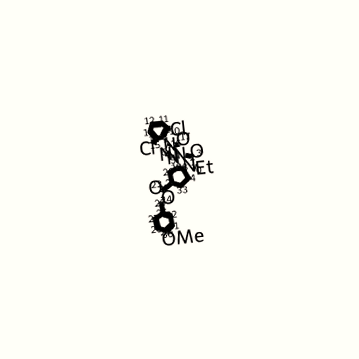 CCN(C(=O)n1nnn(-c2c(Cl)cccc2Cl)c1=O)C1CCC(C(=O)OCc2ccc(OC)cc2)CC1